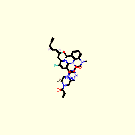 C#C/C=C\C=C(\F)Cc1nc2c(cc1F)c(N1C[C@@H](C)N(C(=O)C=C)C[C@@H]1C)nc(=O)n2-c1c(C(C)C)cccc1N(C)CCc1c[nH]nn1